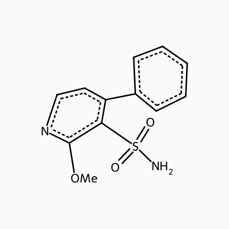 COc1nccc(-c2ccccc2)c1S(N)(=O)=O